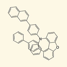 c1ccc(-c2ccc(-c3cccc4oc5cccc(N(c6ccccc6)c6ccc(-c7ccc8ccccc8c7)cc6)c5c34)cc2)cc1